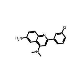 CN(C)c1cc(-c2cccc(Cl)c2)nc2ccc(N)cc12